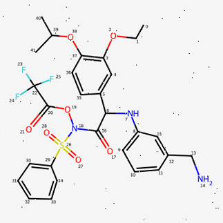 CCOc1cc(C(Nc2cccc(CN)c2)C(=O)N(OC(=O)C(F)(F)F)S(=O)(=O)c2ccccc2)ccc1OC(C)C